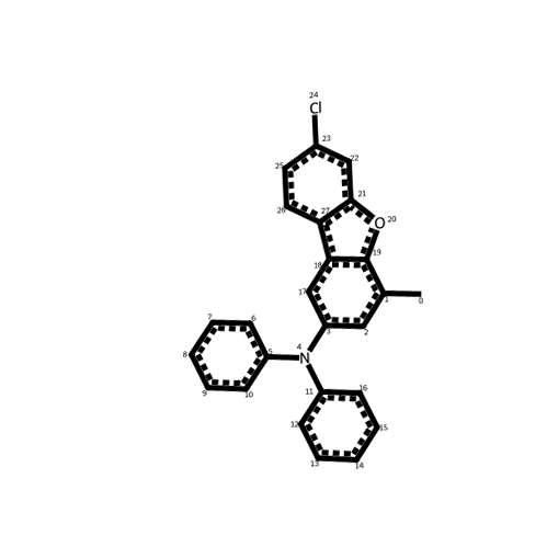 Cc1cc(N(c2ccccc2)c2ccccc2)cc2c1oc1cc(Cl)ccc12